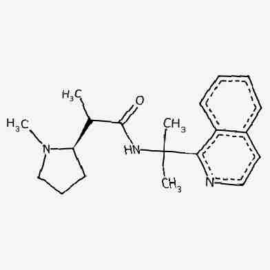 CC(C(=O)NC(C)(C)c1nccc2ccccc12)[C@H]1CCCN1C